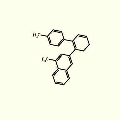 Cc1ccc(C2=C(c3cc(C(F)(F)F)c4ccccc4c3)[CH]CC=C2)cc1